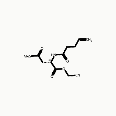 C=CCCC(=O)N[C@@H](CC(=O)SC)C(=O)OCC#N